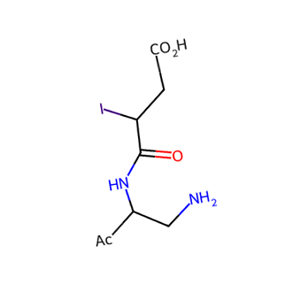 CC(=O)C(CN)NC(=O)C(I)CC(=O)O